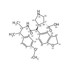 COc1ccc(C(C)C(C)NC(=O)C(c2ccc3c(c2)CCO3)[C@H]2CNC[C@@H]2C(=O)O)cc1